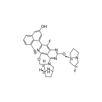 C#Cc1cccc2cc(O)cc(-c3nc4c5c(nc(OC[C@@]67CCCN6C[C@H](F)C7)nc5c3F)N3CC5CC[C@@H](N5)[C@H]3CO4)c12